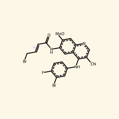 COc1cc2ncc(C#N)c(Nc3ccc(F)c(Br)c3)c2cc1NC(=O)/C=C/CBr